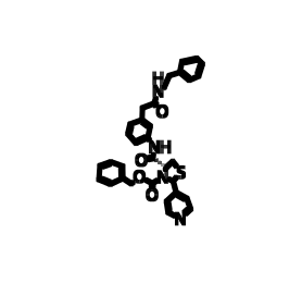 O=C(Cc1cccc(NC(=O)[C@@H]2CSC(c3ccncc3)N2C(=O)OCc2ccccc2)c1)NCCc1ccccc1